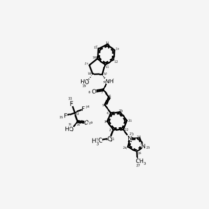 COc1cc(/C=C/C(=O)N[C@H]2c3ccccc3C[C@H]2O)ccc1-n1cnc(C)c1.O=C(O)C(F)(F)F